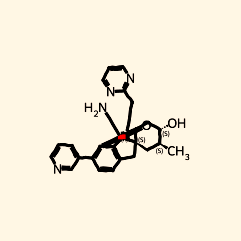 C[C@H]1C[C@@]2(CC[C@@H]1O)Cc1ccc(-c3cccnc3)cc1[C@]21N=C(N)N(Cc2ncccn2)C1=O